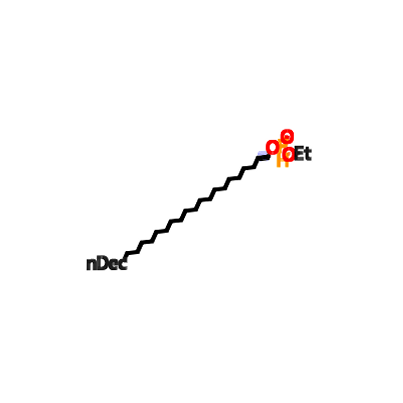 CCCCCCCCCCCCCCCCCCCCCCCCCCCC/C=C/O[PH](=O)OCC